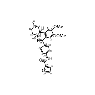 COc1cc2c(cc1OC)[C@H]1CN(C)CC[C@H]1N=C2c1ccc(NC(=O)c2ccco2)cc1